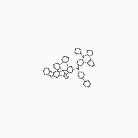 c1ccc(-c2ccc(N(c3ccc4c(c3)-c3ccccc3-c3ccccc3N4c3ccccc3)c3ccc4c(c3)-c3ccccc3-c3ccccc3C43c4ccccc4-c4cc5sc6ccccc6c5cc43)cc2)cc1